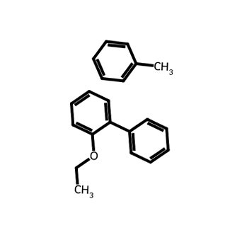 CCOc1ccccc1-c1ccccc1.Cc1ccccc1